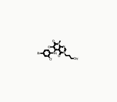 Cn1c(=O)c(Cl)c(Nc2ccc(Br)cc2Cl)c2c(=O)n(CCCO)cnc21